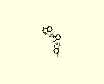 O=C(NCc1ccc(Cl)cc1Cl)c1ccccc1NS(=O)(=O)c1cccc2nccnc12